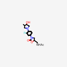 CC(=O)NCC1CN(c2ccc(N3CC(C)C(O)C3)c(F)c2)C(=O)O1